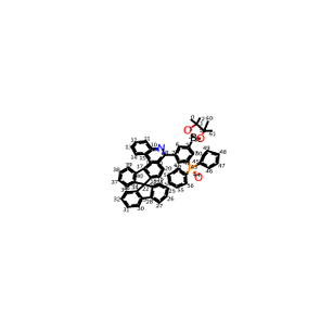 CC1(C)OB(c2cc(-c3nc4ccccc4c4c5c(ccc34)C3(c4ccccc4-c4ccccc43)c3ccccc3-5)cc(P(=O)(c3ccccc3)c3ccccc3)c2)OC1(C)C